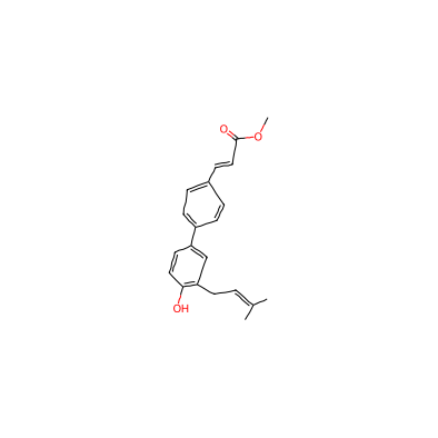 COC(=O)/C=C/c1ccc(-c2ccc(O)c(CC=C(C)C)c2)cc1